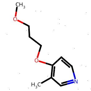 COCCCOc1ccncc1C